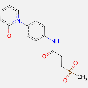 CS(=O)(=O)CCC(=O)Nc1ccc(-n2ccccc2=O)cc1